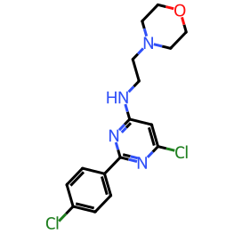 Clc1ccc(-c2nc(Cl)cc(NCCN3CCOCC3)n2)cc1